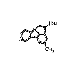 Cc1cc2c(C(C)(C)C)cn3c4ccncc4c(n1)c23